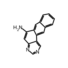 Nc1cc2ncncc2c2cc3ccccc3cc12